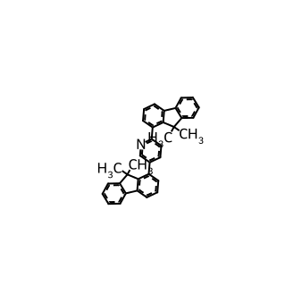 CC1(C)c2ccccc2-c2cccc(-c3ccc(-c4cccc5c4C(C)(C)c4ccccc4-5)nc3)c21